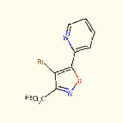 CCOC(=O)c1noc(-c2ccccn2)c1Br